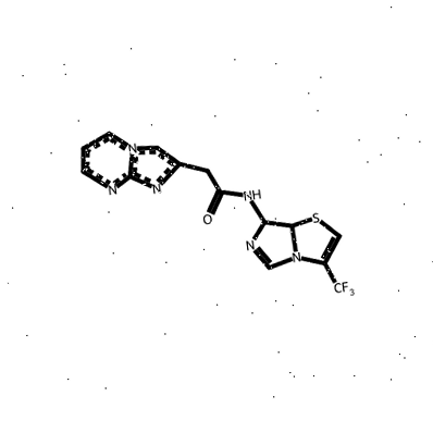 O=C(Cc1cn2cccnc2n1)NC1N=CN2C(C(F)(F)F)=CSC12